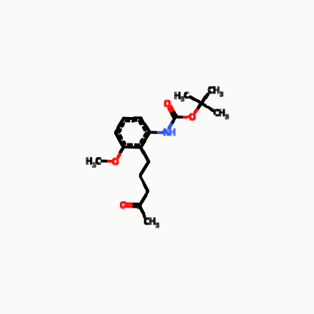 COc1cccc(NC(=O)OC(C)(C)C)c1CCCC(C)=O